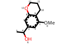 COc1cc(C(C)O)cc2c1CCCO2